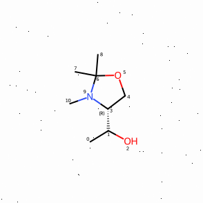 CC(O)[C@H]1COC(C)(C)N1C